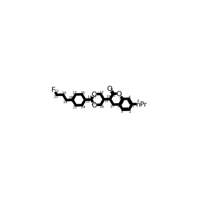 CCCc1ccc2c(c1)OC(=O)C(C1COC(C3CCC(CCCF)CC3)OC1)C2